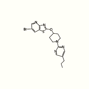 CCCc1cnc(N2CCC(Oc3nc4ncc(Br)cc4s3)CC2)nc1